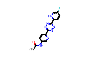 CCCC(=O)Nc1ccc(-c2nnc(C3C=CC(F)=CN3)nn2)nc1